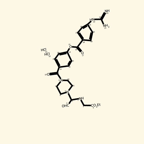 CCOC(=O)CNC(C=O)N1CCN(C(=O)c2ccc(OC(=O)c3ccc(NC(=N)N)cc3)cc2)CC1.Cl.Cl